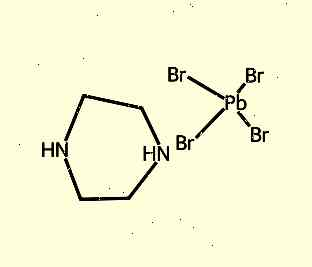 C1CNCCN1.[Br][Pb]([Br])([Br])[Br]